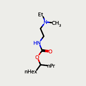 CCCCCCC(CCC)OC(=O)NCCN(C)CC